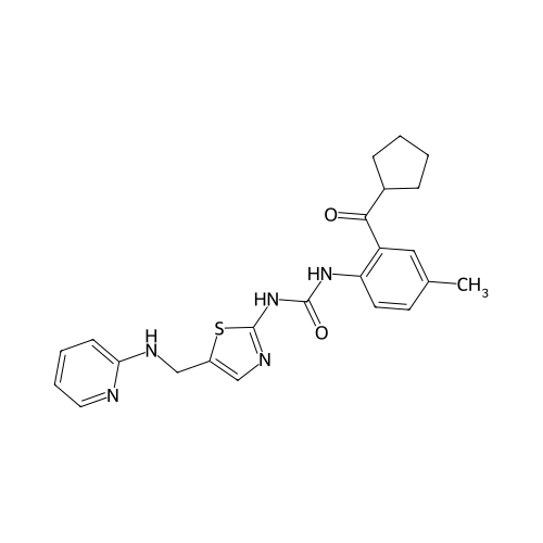 Cc1ccc(NC(=O)Nc2ncc(CNc3ccccn3)s2)c(C(=O)C2CCCC2)c1